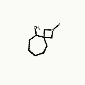 CC1CCCCCC12CN(I)C2